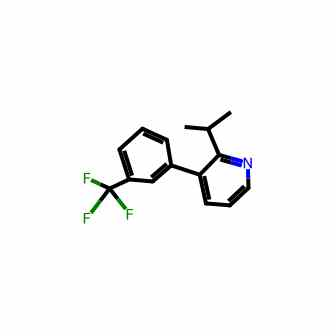 CC(C)c1ncccc1-c1cccc(C(F)(F)F)c1